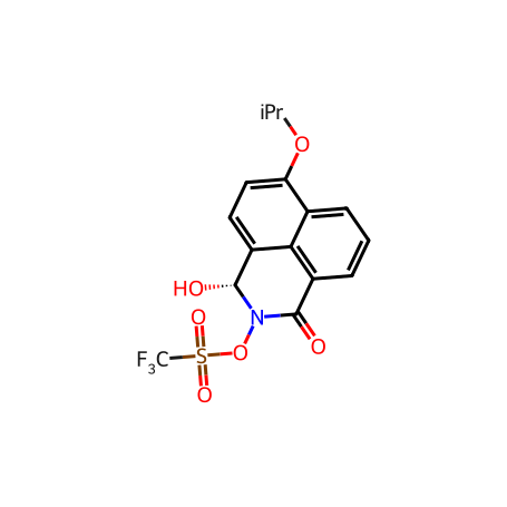 CC(C)Oc1ccc2c3c(cccc13)C(=O)N(OS(=O)(=O)C(F)(F)F)[C@@H]2O